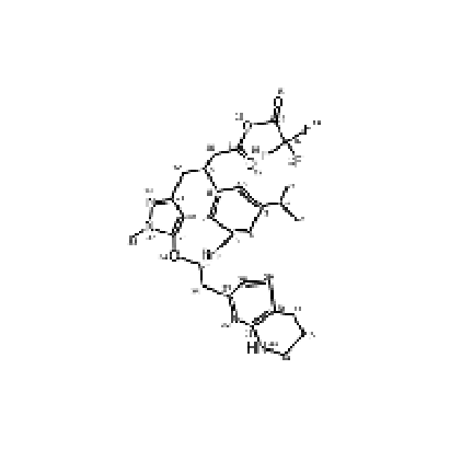 CC(C)c1cc(Br)cc(C(CC(=O)OC(=O)C(F)(F)F)Cc2cc(OCCc3ccc4c(n3)NCCC4)n(C)n2)c1